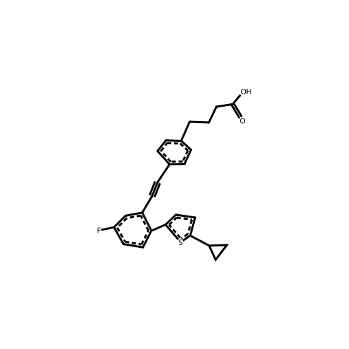 O=C(O)CCCc1ccc(C#Cc2cc(F)ccc2-c2ccc(C3CC3)s2)cc1